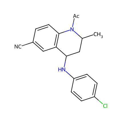 CC(=O)N1c2ccc(C#N)cc2C(Nc2ccc(Cl)cc2)CC1C